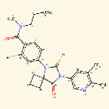 COCCN(C)C(=O)c1ccc(N2C(=S)N(c3cnc(C#N)c(C(F)(F)F)c3)C(=O)C23CCC3)cc1F